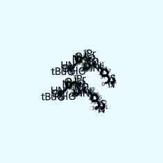 Cc1ncsc1-c1ccc([C@H](C)NC(=O)[C@@H]2C[C@@H](O)CN2C(=O)C(c2cc(CNC(=O)OC(C)(C)C)no2)C(C)C)cc1.Cc1ncsc1-c1ccc([C@H](C)NC(=O)[C@@H]2C[C@@H](O)CN2C(=O)[C@@H](c2cc(CNC(=O)OC(C)(C)C)no2)C(C)C)cc1